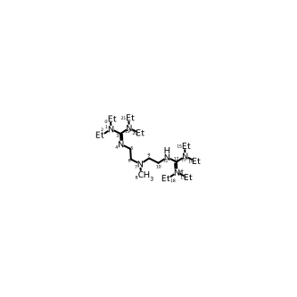 CCN(CC)C(=NCCN(C)CCNC(N(CC)CC)=[N+](CC)CC)N(CC)CC